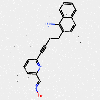 Nc1c(CCC#Cc2cccc(C=NO)n2)ccc2ccccc12